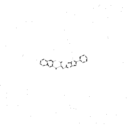 Cn1c(-c2ccccc2)cc2sc(/C=C3\C(=O)Oc4cc5ccccc5cc4C3=O)nc21